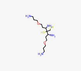 NCCCOCCC(N)C(S)(CS)C(N)CCOCCCN